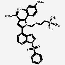 COC(=O)c1cc(-c2ccnc3c2ccn3S(=O)(=O)c2ccccc2)n(COCC[Si](C)(C)C)c1-c1ccc(OC)cc1C(F)(F)F